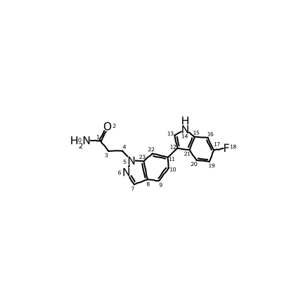 NC(=O)CCn1ncc2ccc(-c3c[nH]c4cc(F)ccc34)cc21